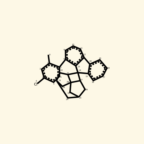 Cc1cc(Cl)ccc1-c1cccc2c1C1(c3ccccc3-2)C2CC3CC4CC1C2(C3)C4